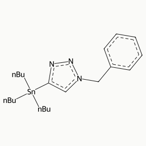 CCC[CH2][Sn]([CH2]CCC)([CH2]CCC)[c]1cn(Cc2ccccc2)nn1